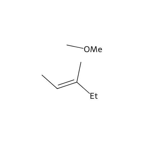 CC=C(C)CC.COC